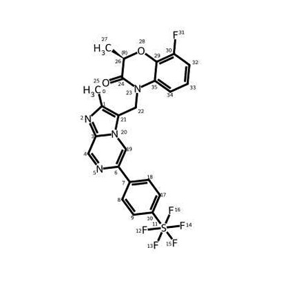 Cc1nc2cnc(-c3ccc(S(F)(F)(F)(F)F)cc3)cn2c1CN1C(=O)[C@@H](C)Oc2c(F)cccc21